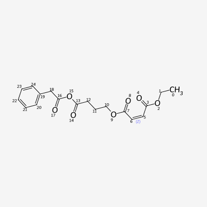 CCOC(=O)/C=C\C(=O)OCCCC(=O)OC(=O)Cc1ccccc1